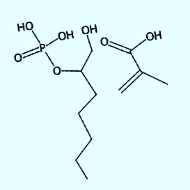 C=C(C)C(=O)O.CCCCCC(CO)OP(=O)(O)O